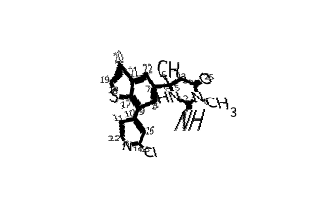 CN1C(=N)N[C@](C)(c2cc(-c3ccnc(Cl)c3)c3sccc3c2)CC1=O